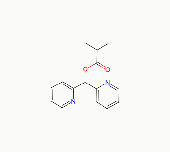 CC(C)C(=O)OC(c1ccccn1)c1ccccn1